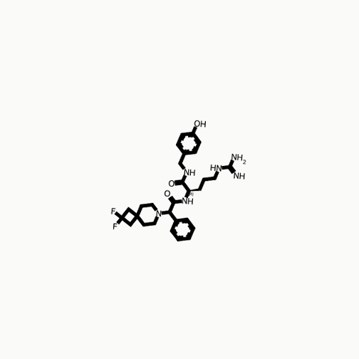 N=C(N)NCCC[C@@H](NC(=O)C(c1ccccc1)N1CCC2(CC1)CC(F)(F)C2)C(=O)NCc1ccc(O)cc1